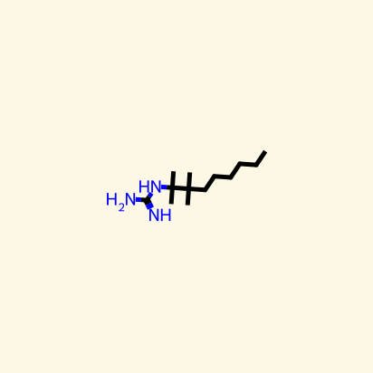 CCCCCCC(C)(C)C(C)(C)NC(=N)N